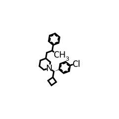 CC(CC1CCCN([C@H](c2ccc(Cl)cc2)C2CCC2)C1)c1ccccc1